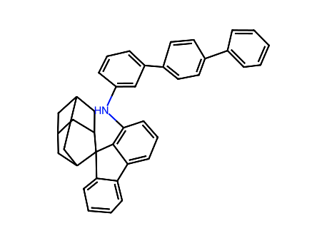 c1ccc(-c2ccc(-c3cccc(Nc4cccc5c4C4(c6ccccc6-5)C5CC6CC(C5)CC4C6)c3)cc2)cc1